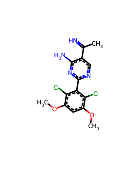 COc1cc(OC)c(Cl)c(-c2ncc(C(C)=N)c(N)n2)c1Cl